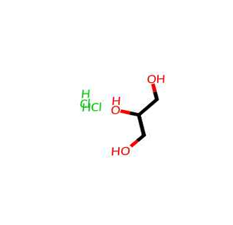 Cl.Cl.OCC(O)CO